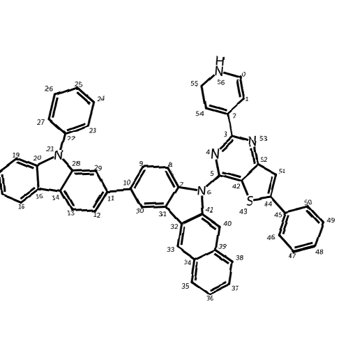 C1=CC(c2nc(-n3c4ccc(-c5ccc6c7ccccc7n(-c7ccccc7)c6c5)cc4c4cc5ccccc5cc43)c3sc(-c4ccccc4)cc3n2)=CCN1